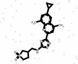 Cc1cc(-c2nnc(NCC3CCS(=O)(=O)C3)o2)nc2c(C(F)(F)F)cc(C3CC3)cc12